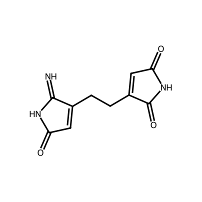 N=C1NC(=O)C=C1CCC1=CC(=O)NC1=O